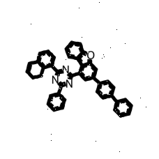 C1=Cc2cccc(-c3nc(-c4ccccc4)nc(-c4cc(-c5ccc(-c6ccccc6)cc5)cc5oc6ccccc6c45)n3)c2CC1